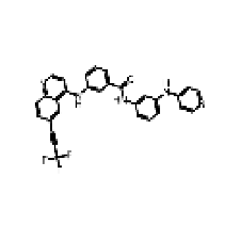 O=C(Nc1cccc(Nc2ccncc2)c1)c1cccc(Nc2ccnc3ccc(C#CC(F)(F)F)cc23)c1